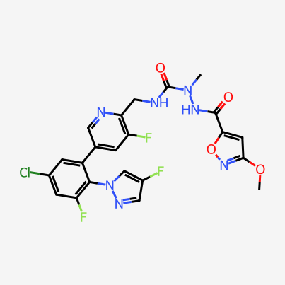 COc1cc(C(=O)NN(C)C(=O)NCc2ncc(-c3cc(Cl)cc(F)c3-n3cc(F)cn3)cc2F)on1